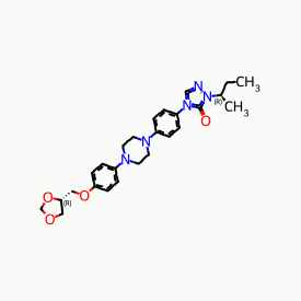 CC[C@@H](C)n1ncn(-c2ccc(N3CCN(c4ccc(OC[C@@H]5COCO5)cc4)CC3)cc2)c1=O